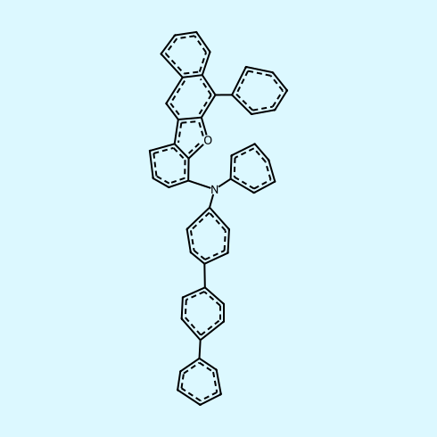 c1ccc(-c2ccc(-c3ccc(N(c4ccccc4)c4cccc5c4oc4c(-c6ccccc6)c6ccccc6cc45)cc3)cc2)cc1